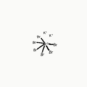 [Br][Ir-2]([Br])([Br])([Br])([Br])[Br].[K+].[K+]